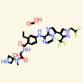 CCc1cc(Nc2nccn3c(-c4cn(CC(F)F)nc4C(F)(F)F)cnc23)ccc1C(=O)NCC(=O)N(C)C1(O)CNC1.O=CO